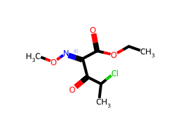 CCOC(=O)/C(=N/OC)C(=O)C(C)Cl